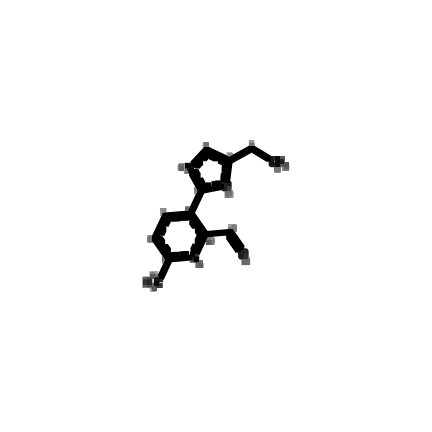 CCc1cnc(-c2ccc(C)nc2C=O)o1